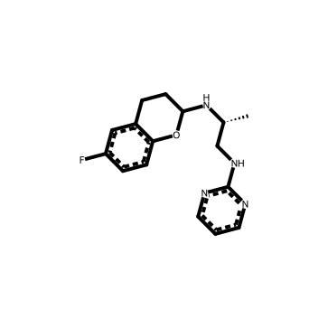 C[C@H](CNc1ncccn1)NC1CCc2cc(F)ccc2O1